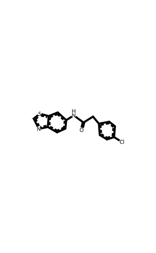 O=C(Cc1ccc(Cl)cc1)Nc1ccc2n[c]sc2c1